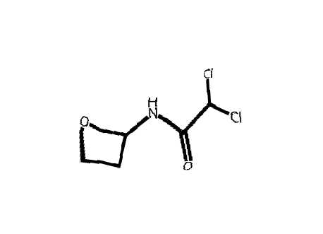 O=C(NC1CCO1)C(Cl)Cl